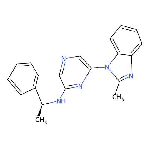 Cc1nc2ccccc2n1-c1cncc(N[C@@H](C)c2ccccc2)n1